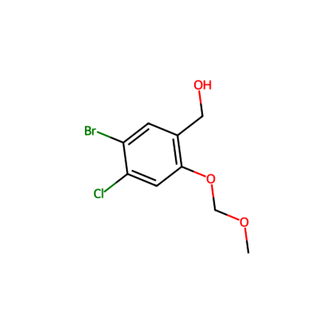 COCOc1cc(Cl)c(Br)cc1CO